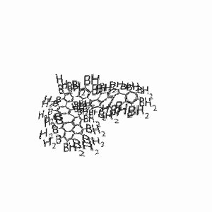 Bc1c(B)c(B)c(-c2c(B)c(B)c3c4c2c(B)c(B)c2c(B)c(B)c(-c5c(B)c(B)c(B)c(-c6c(B)c(B)c(B)c(-c7c(B)c(B)c(B)c(-c8c(B)c(B)c9c(B)c(B)c%10c(B)c(B)c(B)c%11c(B)c(B)c8c9c%10%11)c7B)c6B)c5B)c(c24)C3B)c(B)c1B